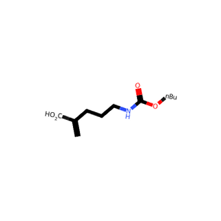 C=C(CCCNC(=O)OCCCC)C(=O)O